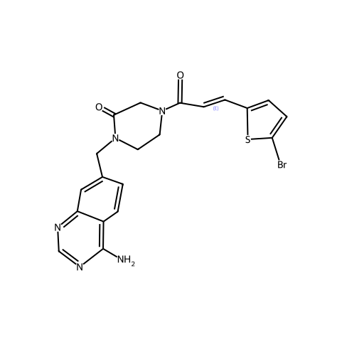 Nc1ncnc2cc(CN3CCN(C(=O)/C=C/c4ccc(Br)s4)CC3=O)ccc12